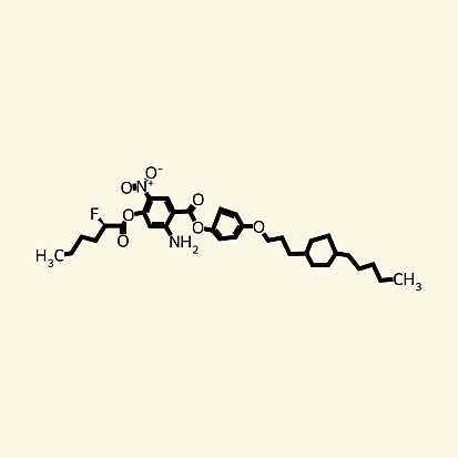 CCCCCC1CCC(CCCOc2ccc(OC(=O)c3cc([N+](=O)[O-])c(OC(=O)[C@H](F)CCCC)cc3N)cc2)CC1